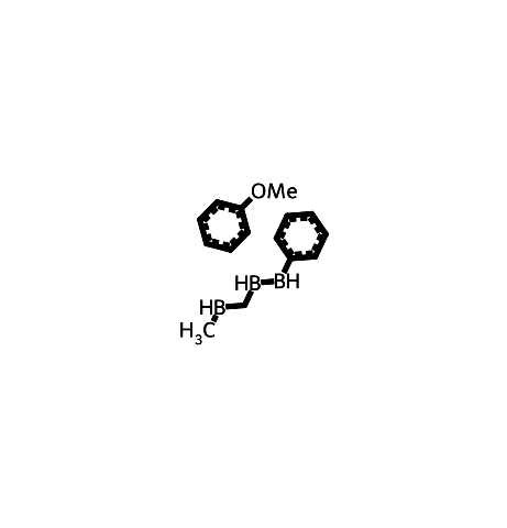 CBCBBc1ccccc1.COc1ccccc1